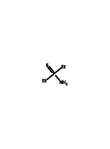 CCP(N)(=S)CC